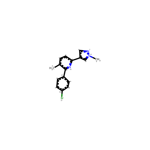 Cc1ccc(-c2cnn(C)c2)nc1-c1ccc(Br)cc1